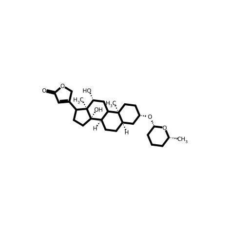 C[C@@H]1CCC[C@H](O[C@H]2CC[C@]3(C)C4C[C@@H](O)[C@]5(C)C(C6=CC(=O)OC6)CC[C@]5(O)[C@@H]4CC[C@@H]3C2)O1